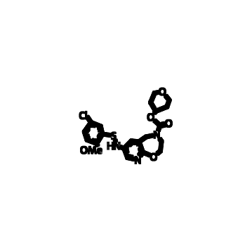 COc1ccc(Cl)cc1SNc1cnc2c(c1)CN(C(=O)OC1CCOCC1)CCO2